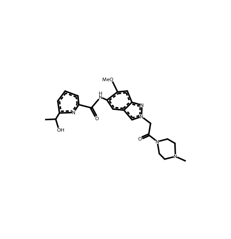 COc1cc2nn(CC(=O)N3CCN(C)CC3)cc2cc1NC(=O)c1cccc(C(C)O)n1